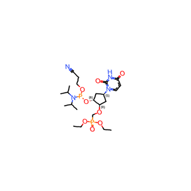 CCOP(=O)(CO[C@@H]1C[C@H](n2ccc(=O)[nH]c2=O)C[C@H]1OP(OCCC#N)N(C(C)C)C(C)C)OCC